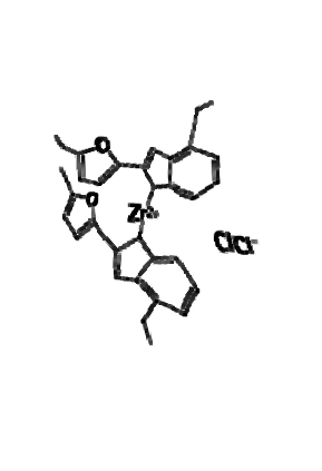 CCc1cccc2c1C=C(c1ccc(C)o1)[CH]2[Zr+2][CH]1C(c2ccc(C)o2)=Cc2c(CC)cccc21.[Cl-].[Cl-]